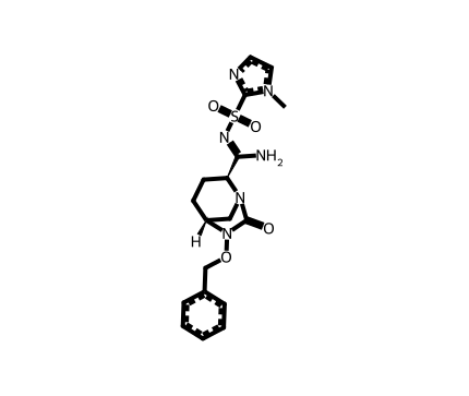 Cn1ccnc1S(=O)(=O)N=C(N)[C@@H]1CC[C@@H]2CN1C(=O)N2OCc1ccccc1